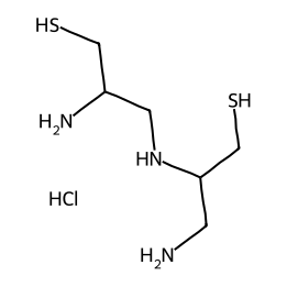 Cl.NCC(CS)NCC(N)CS